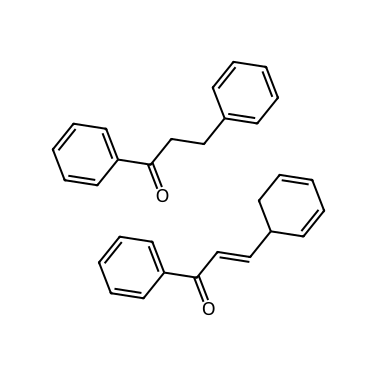 O=C(C=CC1C=CC=CC1)c1ccccc1.O=C(CCc1ccccc1)c1ccccc1